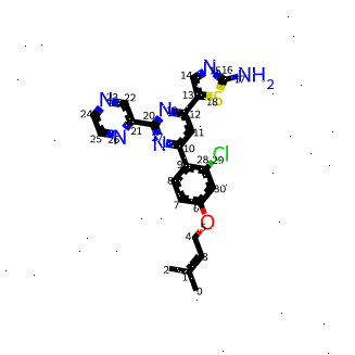 CC(C)=CCOc1ccc(-c2cc(-c3cnc(N)s3)nc(-c3cnccn3)n2)c(Cl)c1